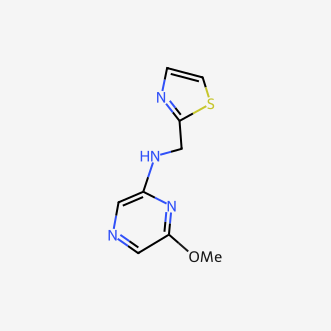 COc1cncc(NCc2nccs2)n1